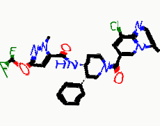 Cc1cnc2c(Cl)cc(C(=O)N3CC[C@@H](NC(=O)c4cc(OC(F)F)nn4C)[C@@H](c4ccccc4)C3)cn12